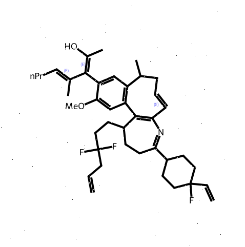 C=CCC(F)(F)CCC1CCC(C2CCC(F)(C=C)CC2)=NC2=C1c1cc(OC)c(C(/C(C)=C/CCC)=C(\C)O)cc1C(C)C/C=C/2